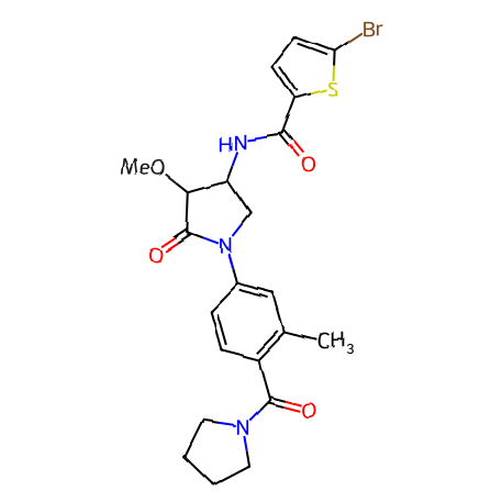 COC1C(=O)N(c2ccc(C(=O)N3CCCC3)c(C)c2)CC1NC(=O)c1ccc(Br)s1